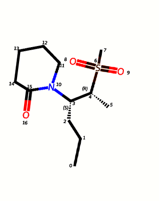 CCC[C@@H]([C@@H](C)S(C)(=O)=O)N1CCCCC1=O